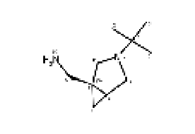 CC(C)(C)N1CC2C[C@]2(CN)C1